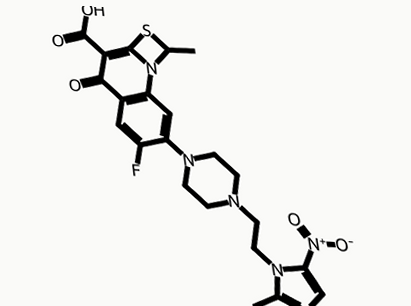 Cc1ncc([N+](=O)[O-])n1CCN1CCN(c2cc3c(cc2F)c(=O)c(C(=O)O)c2n3C(C)S2)CC1